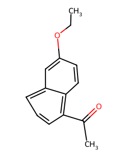 CCOc1ccc2c(C(C)=O)cccc2c1